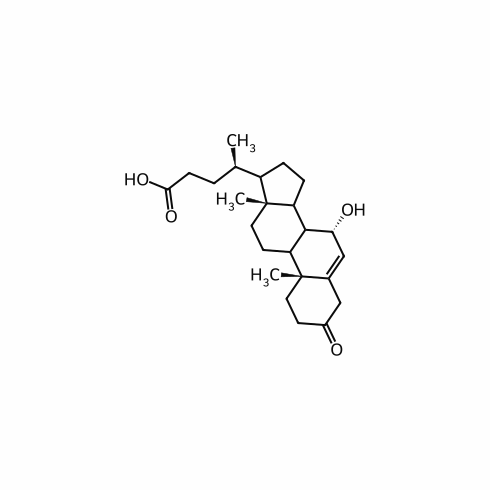 C[C@H](CCC(=O)O)C1CCC2C3C(CC[C@@]21C)[C@@]1(C)CCC(=O)CC1=C[C@H]3O